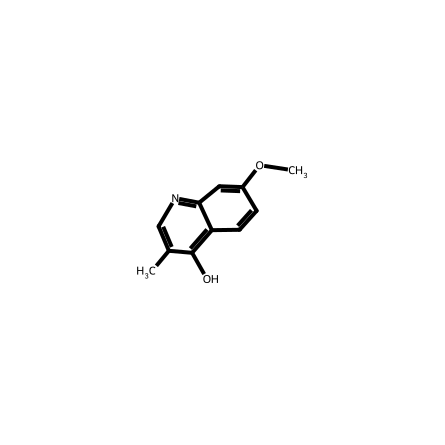 COc1ccc2c(O)c(C)cnc2c1